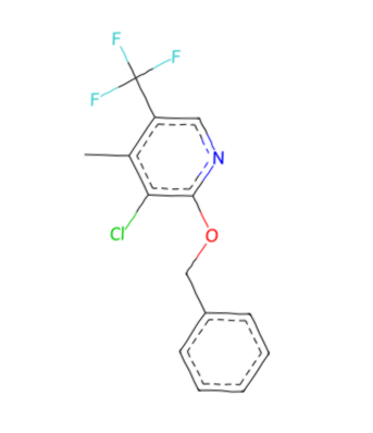 Cc1c(C(F)(F)F)cnc(OCc2ccccc2)c1Cl